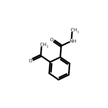 CNC(=O)c1ccccc1C(C)=O